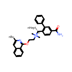 CCCCCCC[C@H](c1ccc(C(N)=O)cc1-c1ccccc1)[N+](C)(C)CCOc1nc(CCCC)cc2ccccc12